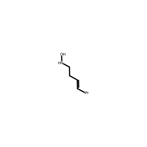 CC(C)/C=C/CCNO